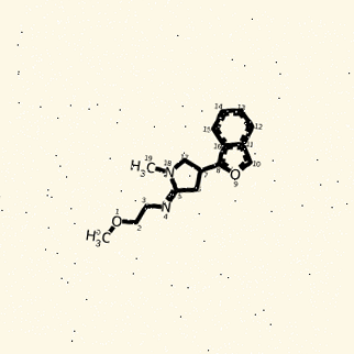 COCCN=C1CC(c2occ3ccccc23)CN1C